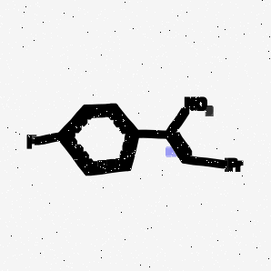 CC(C)/C=C(/c1ccc(F)cc1)[N+](=O)[O-]